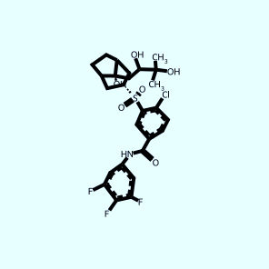 CC(C)(O)C(O)C[C@]1(O)C2CCC1C[C@@H](S(=O)(=O)c1cc(C(=O)Nc3cc(F)c(F)c(F)c3)ccc1Cl)C2